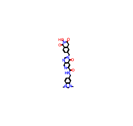 CN1CN(C)c2cc(CNC(=O)c3cc4c(=O)n(Cc5ccc6c(c5)CC(=O)N(O)C6=O)cnc4cn3)ccc21